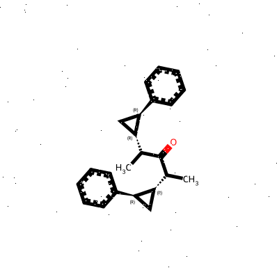 CC(C(=O)C(C)[C@@H]1C[C@H]1c1ccccc1)[C@@H]1C[C@H]1c1ccccc1